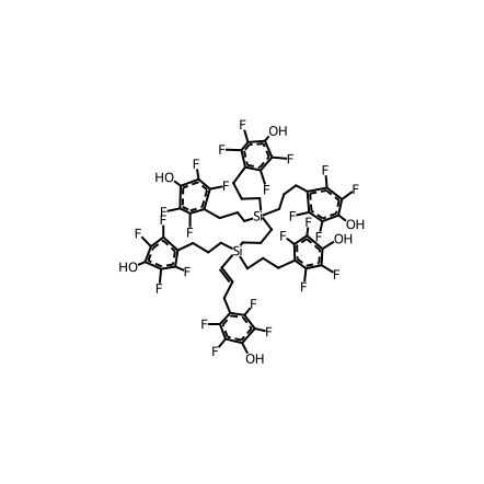 Oc1c(F)c(F)c(C/C=C/[Si](CCCc2c(F)c(F)c(O)c(F)c2F)(CCCc2c(F)c(F)c(O)c(F)c2F)CCC[Si](CCCc2c(F)c(F)c(O)c(F)c2F)(CCCc2c(F)c(F)c(O)c(F)c2F)CCCc2c(F)c(F)c(O)c(F)c2F)c(F)c1F